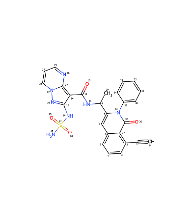 C#Cc1cccc2cc(C(C)NC(=O)c3c(NS(N)(=O)=O)nn4cccnc34)n(-c3ccccc3)c(=O)c12